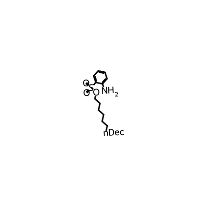 CCCCCCCCCCCCCCCCOS(=O)(=O)c1ccccc1N